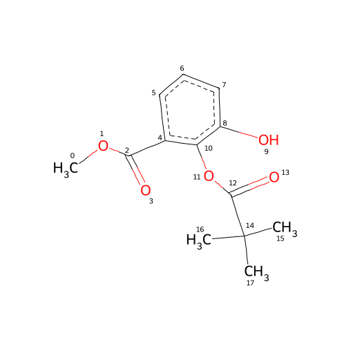 COC(=O)c1cccc(O)c1OC(=O)C(C)(C)C